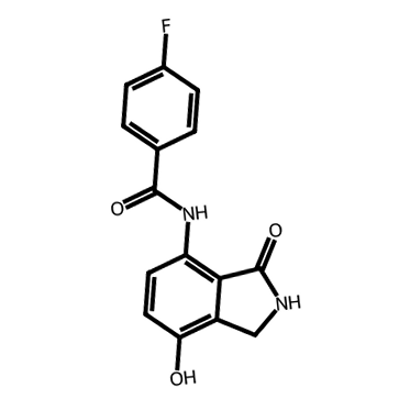 O=C(Nc1ccc(O)c2c1C(=O)NC2)c1ccc(F)cc1